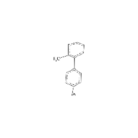 CC(C)c1ccc(-c2ccccc2C(F)(F)F)cc1